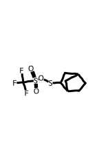 O=S(=O)(OSC1CC2CCC1C2)C(F)(F)F